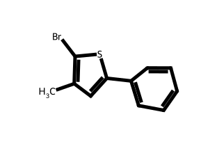 Cc1cc(-c2ccccc2)sc1Br